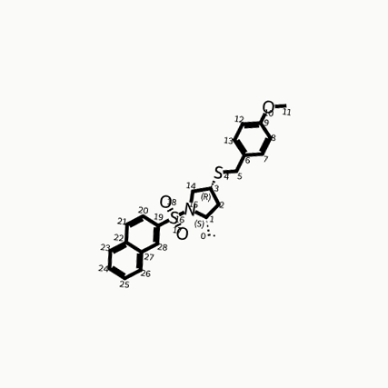 [CH2][C@H]1C[C@@H](SCc2ccc(OC)cc2)CN1S(=O)(=O)c1ccc2ccccc2c1